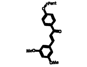 CCCCCOc1ccc(C(=O)C=Cc2cc(OC)cc(OC)c2)cc1